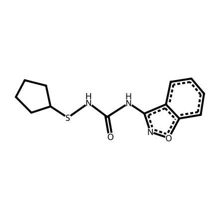 O=C(NSC1CCCC1)Nc1noc2ccccc12